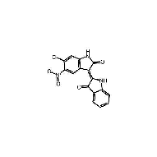 O=C1Nc2cc(Cl)c([N+](=O)[O-])cc2/C1=C1/Nc2ccccc2C1=O